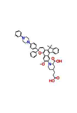 COc1cc2c3c(c4c(c2cc1N1CCC(CCC(=O)O)CC1C(=O)O)-c1ccccc1C4(C)C)C=CC(c1ccccc1)(c1ccc(N2CCN(c4ccccc4)CC2)cc1)O3